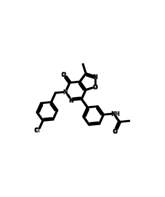 CC(=O)Nc1cccc(-c2nn(Cc3ccc(Cl)cc3)c(=O)c3c(C)noc23)c1